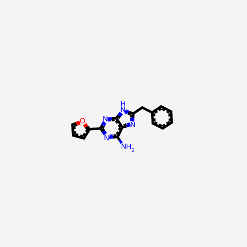 Nc1nc(-c2ccco2)nc2[nH]c(Cc3ccccc3)nc12